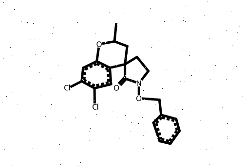 CC1CC2(CCN(OCc3ccccc3)C2=O)c2cc(Cl)c(Cl)cc2O1